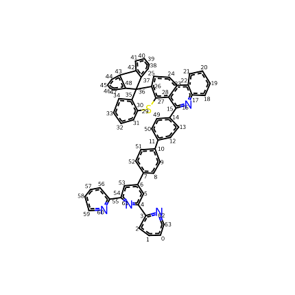 c1ccc(-c2cc(-c3ccc(-c4ccc(-c5nc6ccccc6c6ccc7c(c56)Sc5ccccc5C75c6ccccc6-c6ccccc65)cc4)cc3)cc(-c3ccccn3)n2)nc1